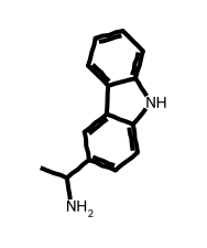 CC(N)c1ccc2[nH]c3ccccc3c2c1